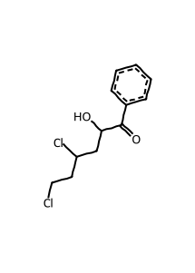 O=C(c1ccccc1)C(O)CC(Cl)CCCl